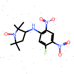 CC1(C)CC(Nc2cc(F)c([N+](=O)[O-])cc2[N+](=O)[O-])C(C)(C)N1[O]